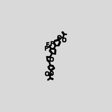 C=C(C)C(=O)Oc1ccc(-c2ccc(-c3ccc(-c4ccc(OC(=O)C(=C)C)cc4)c(C(F)(F)F)c3)o2)cc1